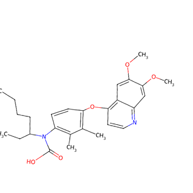 CCCCC(CC)N(C(=O)O)c1ccc(Oc2ccnc3cc(OC)c(OC)cc23)c(C)c1C